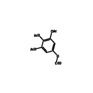 CC(=O)Oc1cc(OC=O)cc(OC(C)=O)c1OC(C)=O